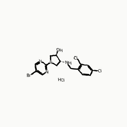 Cl.O[C@@H]1CN(c2ncc(Br)cn2)C[C@H]1NCc1ccc(Cl)cc1Cl